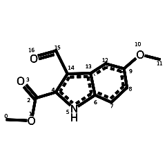 COC(=O)c1[nH]c2ccc(OC)cc2c1C=O